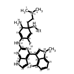 CCNC1(CCN(C)C)C=C(F)C(Nc2nc(-c3cn(C)c4cccc(F)c34)c3cc[nH]c3n2)=CC1N